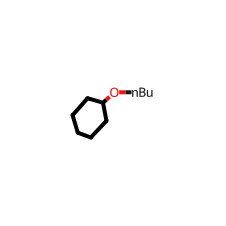 C[CH]CCOC1CCCCC1